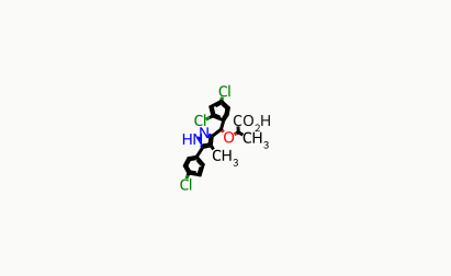 Cc1c(C(OC(C)C(=O)O)c2ccc(Cl)cc2Cl)n[nH]c1-c1ccc(Cl)cc1